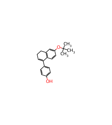 CC(C)(C)Oc1ccc2c(c1)CCC=C2c1ccc(O)cc1